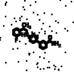 CC(CNc1ccc(-c2cccc(C(N)=O)c2)nn1)c1cccc(F)c1